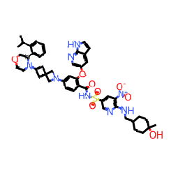 CC(C)c1ccccc1[C@@H]1COCCN1C1CC2(C1)CN(c1ccc(C(=O)NS(=O)(=O)c3cnc(NCC4CCC(C)(O)CC4)c([N+](=O)[O-])c3)c(Oc3cnc4[nH]ccc4c3)c1)C2